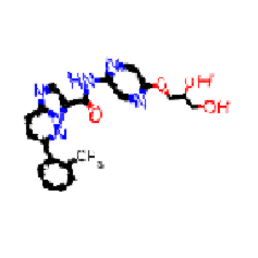 O=C(Nc1cnc(OCC(O)CO)cn1)c1cnc2ccc(-c3ccccc3C(F)(F)F)nn12